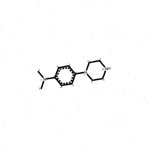 CN(C)c1ccc(N2CCNCC2)cc1